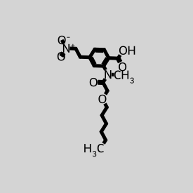 CCCCCCOCC(=O)N(C)c1cc(CC[N+](=O)[O-])ccc1C(=O)O